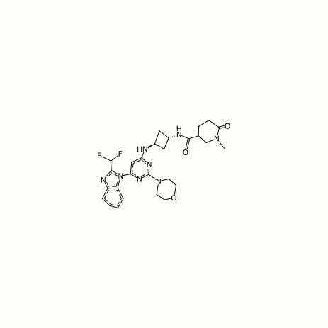 CN1CC(C(=O)N[C@H]2C[C@H](Nc3cc(-n4c(C(F)F)nc5ccccc54)nc(N4CCOCC4)n3)C2)CCC1=O